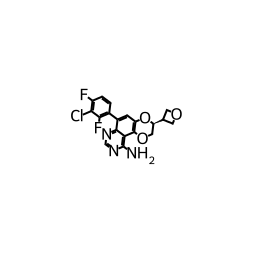 Nc1ncnc2c(-c3ccc(F)c(Cl)c3F)cc3c(c12)OC[C@H](C1COC1)O3